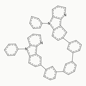 c1ccc(-n2c3ccc(-c4cccc(-c5cccc(-c6cccc(-c7ccc8c(c7)c7ncccc7n8-c7ccccc7)c6)c5)c4)cc3c3ncccc32)cc1